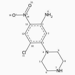 Nc1cc(N2CCNCC2)c(Cl)cc1[N+](=O)[O-]